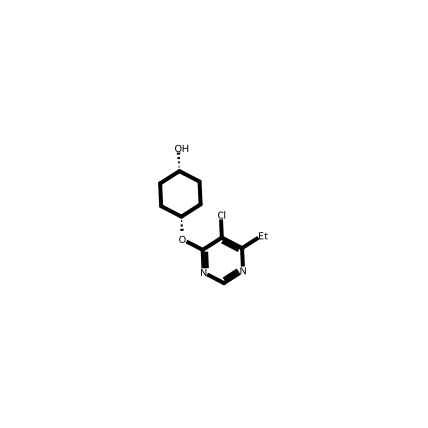 CCc1ncnc(O[C@H]2CC[C@@H](O)CC2)c1Cl